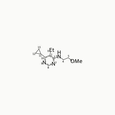 CCc1c(NCCOC)ncnc1C1CC1